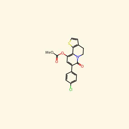 COC(=O)Oc1cc(-c2ccc(Cl)cc2)c(=O)n2c1-c1sccc1CC2